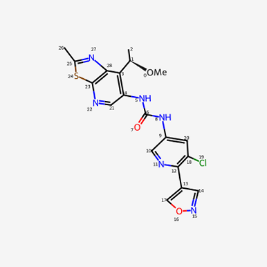 CO[C@H](C)c1c(NC(=O)Nc2cnc(-c3cnoc3)c(Cl)c2)cnc2sc(C)nc12